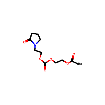 CC(C)(C)C(=O)OCCOC(=O)OCCN1CCCC1=O